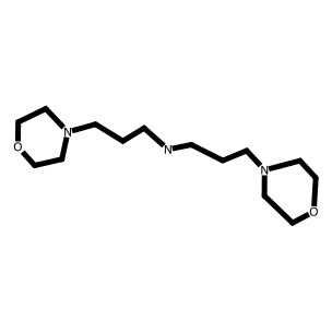 C(C[N]CCCN1CCOCC1)CN1CCOCC1